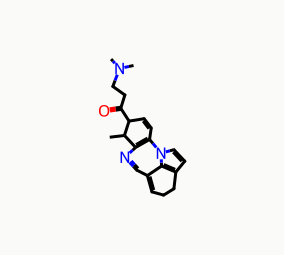 CC1C2=C(C=CC1C(=O)CCN(C)C)n1ccc3c1C(=CCC3)C=N2